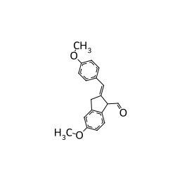 COc1ccc(/C=C2\Cc3cc(OC)ccc3C2C=O)cc1